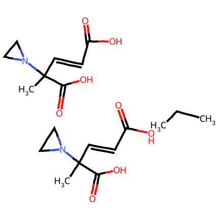 CC(C=CC(=O)O)(C(=O)O)N1CC1.CC(C=CC(=O)O)(C(=O)O)N1CC1.CCC